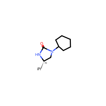 CC(C)[C@H]1CN(C2CCCCC2)C(=O)N1